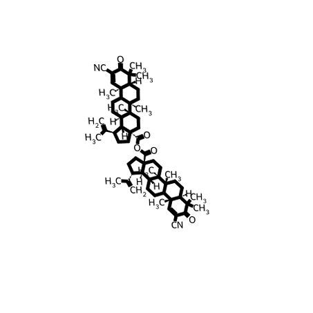 C=C(C)[C@@H]1CC[C@]2(C(=O)OC(=O)[C@]34CC[C@@H](C(=C)C)[C@@H]3[C@H]3CCC5[C@@]6(C)C=C(C#N)C(=O)C(C)(C)[C@@H]6CC[C@@]5(C)[C@]3(C)CC4)CC[C@]3(C)[C@H](CCC4[C@@]5(C)C=C(C#N)C(=O)C(C)(C)[C@@H]5CC[C@]43C)[C@@H]12